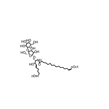 CCCCCCCC/C=C\CCCCCCCCCCCCCC(=O)N[C@@H](CO[C@@H]1O[C@H](CO)[C@@H](O[C@@H]2O[C@H](CO)[C@H](O)[C@H](O)[C@H]2O)[C@H](O)[C@@H]1O)[C@H](O)/C=C/CCCCCCCCCCCCC